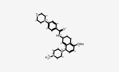 COC1=C2CCC(NC(=O)c3ccc(N4CCOCC4)cc3)C=C2[C@H](N2CCN(C)CC2)C=C1